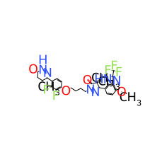 COc1ccc(C2=NN(CCCCOc3ccc(C4=NNC(=O)CC4C)c(F)c3F)C(=O)C2(C)C)c2[nH]c(C(F)(F)F)nc12